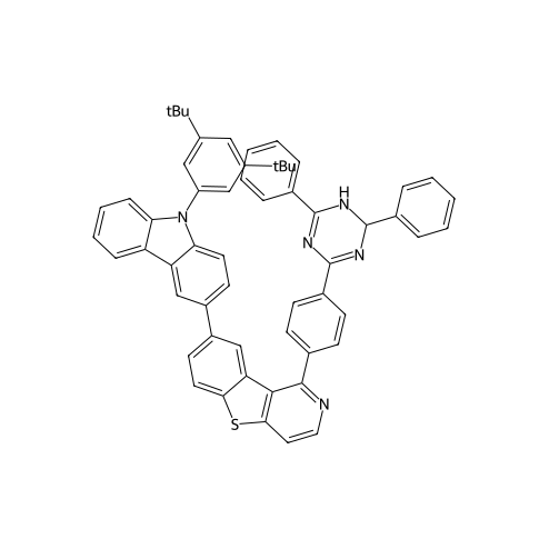 CC(C)(C)c1cc(-n2c3ccccc3c3cc(-c4ccc5sc6ccnc(-c7ccc(C8=NC(c9ccccc9)NC(c9ccccc9)=N8)cc7)c6c5c4)ccc32)cc(C(C)(C)C)c1